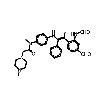 C/C(=C(\Nc1ccc(N(C)C(=O)CN2CCN(C)CC2)cc1)c1ccccc1)c1ccc(C=O)cc1NC=O